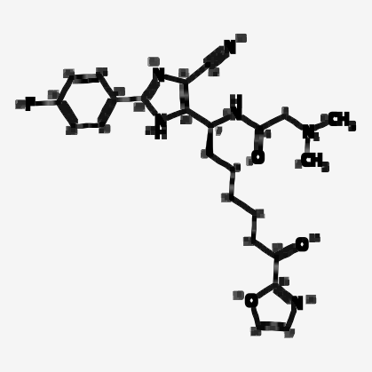 CN(C)CC(=O)N[C@@H](CCCCCC(=O)c1ncco1)c1[nH]c(-c2ccc(F)cc2)nc1C#N